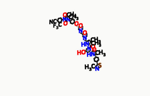 Cc1ncsc1-c1ccc([C@H](C)NC(=O)[C@@H]2C[C@@H](O)CN2C(=O)[C@H]2NC(CN3CCOC(CN4CCO[C@@H](COc5ccc(N6C(=O)N(c7ccc(C#N)c(C(F)(F)F)c7)C(=O)C6(C)C)cc5)C4)C3)=CC2(C)C)cc1